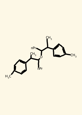 CCCC(OC(CCC)C(C)c1ccc(C)cc1)C(C)c1ccc(C)cc1